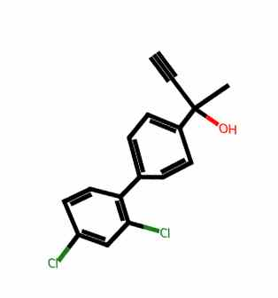 C#CC(C)(O)c1ccc(-c2ccc(Cl)cc2Cl)cc1